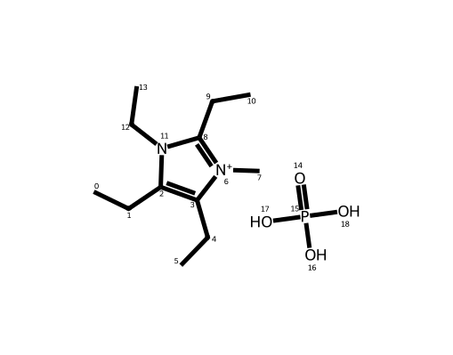 CCc1c(CC)[n+](C)c(CC)n1CC.O=P(O)(O)O